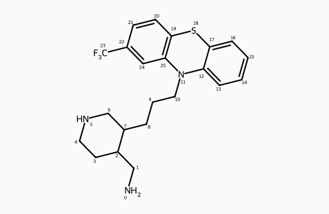 NCC1CCNCC1CCCN1c2ccccc2Sc2ccc(C(F)(F)F)cc21